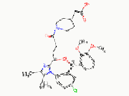 COc1cccc([C@H]2O[C@H](CCC(=O)N3CCC(CC(=O)O)CC3)c3nc(C)c(C)n3-c3ccc(Cl)cc32)c1OC